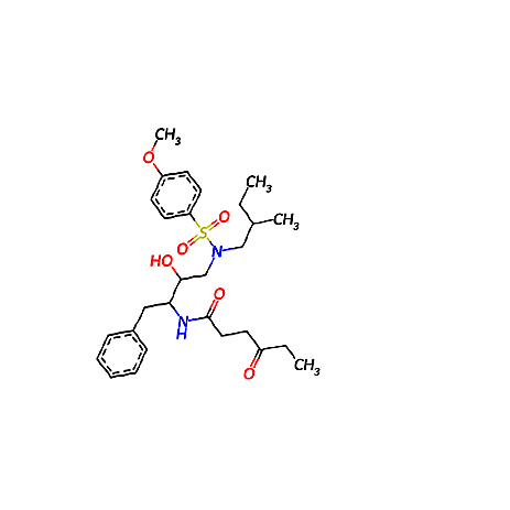 CCC(=O)CCC(=O)NC(Cc1ccccc1)C(O)CN(CC(C)CC)S(=O)(=O)c1ccc(OC)cc1